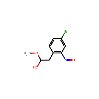 COC(O)Cc1ccc(Br)cc1N=O